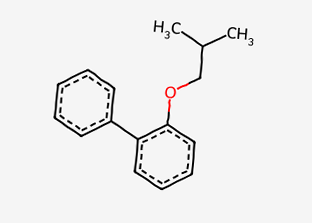 CC(C)COc1ccccc1-c1ccccc1